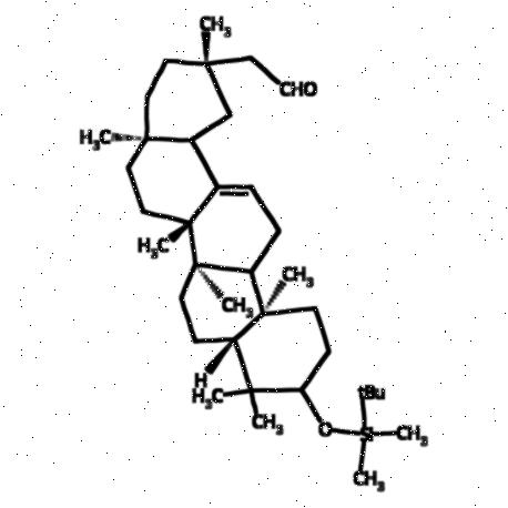 CC1(C)C(O[Si](C)(C)C(C)(C)C)CC[C@]2(C)C3CC=C4C5C[C@@](C)(CC=O)CC[C@]5(C)CC[C@@]4(C)[C@]3(C)CC[C@@H]12